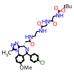 COc1ccc2c(c1)C(c1ccc(Cl)cc1)=N[C@@H](CC(=O)NCCNC(=O)CNC(=O)CNC(=O)OC(C)(C)C)c1nnc(C)n1-2